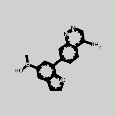 CB(O)c1cc(-c2ccc3c(N)cnnc3c2)c2occc2c1